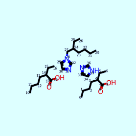 CCCCC(CC)C(=O)O.CCCCC(CC)C(=O)O.CCCCC(CC)Cn1ccnc1.c1c[nH]cn1